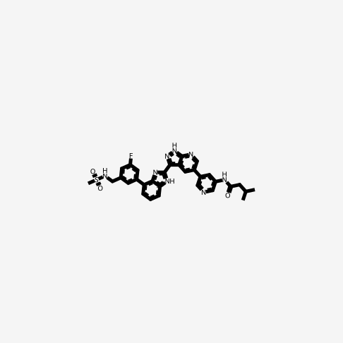 CC(C)CC(=O)Nc1cncc(-c2cnc3[nH]nc(-c4nc5c(-c6cc(F)cc(CNS(C)(=O)=O)c6)cccc5[nH]4)c3c2)c1